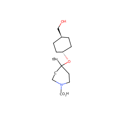 CC(C)(C)C1(O[C@H]2CC[C@H](CO)CC2)CCN(C(=O)O)CC1